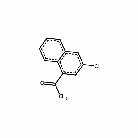 CC(=O)c1cc(Cl)cc2ccccc12